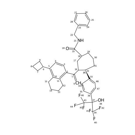 C=C(c1ccc(C2CCC2)c2c1CCCC2)C1CC(C(=O)NCc2ccccc2)CCC[C@H]1c1ccc(C(O)(C(F)(F)F)C(F)(F)F)cc1